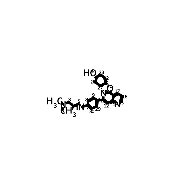 CN(C)CCCNc1ccc(-c2cc3ncccc3c(OC3CCC(O)CC3)n2)cc1